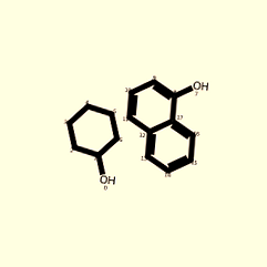 OC1CCCCC1.Oc1cccc2ccccc12